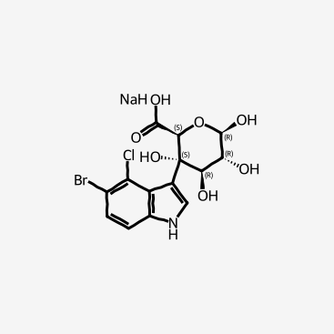 O=C(O)[C@H]1O[C@@H](O)[C@H](O)[C@@H](O)[C@@]1(O)c1c[nH]c2ccc(Br)c(Cl)c12.[NaH]